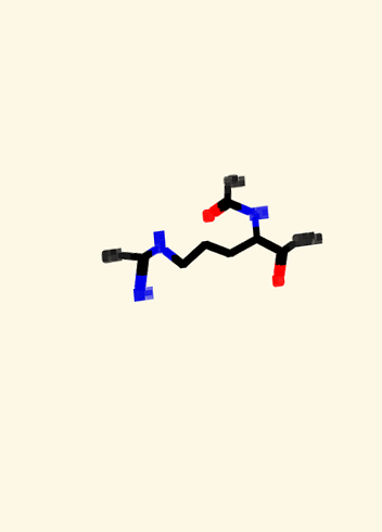 COC(=O)C(CCCNC(=N)N=O)NC(=O)C(C)(C)C